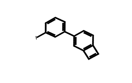 Ic1cccc(-c2ccc3c(c2)C=C3)c1